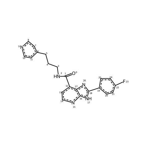 O=C(NCCCc1ccncc1)c1ccnc2[nH]c(-c3ccc(F)cc3)nc12